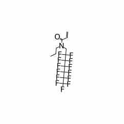 C=CC(=O)N(CCC)CC(F)(F)C(F)(F)C(F)(F)C(F)(F)C(F)(F)C(F)(F)F